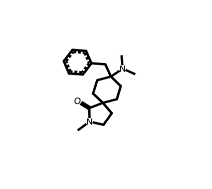 CN1CCC2(CCC(Cc3ccccc3)(N(C)C)CC2)C1=O